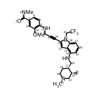 CNC(=O)c1ccc(NCC#Cc2cc3c(NC[C@@H]4CCN(C)C[C@@H]4F)cccc3n2CC(F)(F)F)c(OC)c1